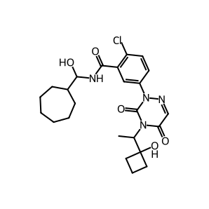 CC(n1c(=O)cnn(-c2ccc(Cl)c(C(=O)NC(O)C3CCCCCC3)c2)c1=O)C1(O)CCC1